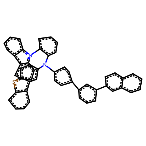 c1cc(-c2ccc(N(c3ccc4sc5ccccc5c4c3)c3ccccc3-n3c4ccccc4c4ccccc43)cc2)cc(-c2ccc3ccccc3c2)c1